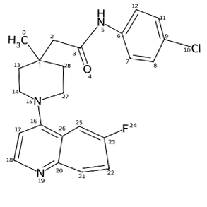 CC1(CC(=O)Nc2ccc(Cl)cc2)CCN(c2ccnc3ccc(F)cc23)CC1